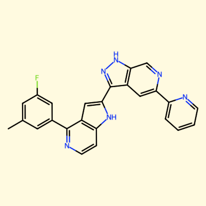 Cc1cc(F)cc(-c2nccc3[nH]c(-c4n[nH]c5cnc(-c6ccccn6)cc45)cc23)c1